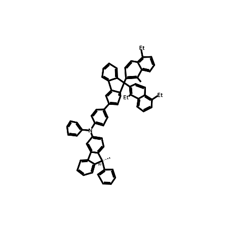 CCc1cccc2c(C)c(C3(c4ccc5c(CC)cccc5c4CC)c4ccccc4-c4cc(-c5ccc(N(c6ccccc6)c6ccc7c(c6)-c6ccccc6[C@]7(C)c6ccccc6)cc5)ccc43)ccc12